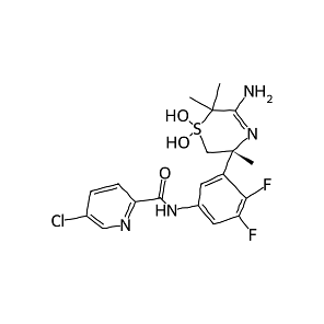 CC1(C)C(N)=N[C@](C)(c2cc(NC(=O)c3ccc(Cl)cn3)cc(F)c2F)CS1(O)O